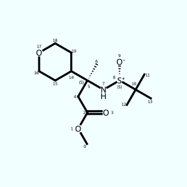 COC(=O)C[C@](C)(N[S@+]([O-])C(C)(C)C)C1CCOCC1